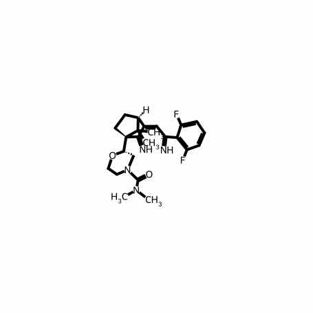 CN(C)C(=O)N1CCO[C@H]([C@@]23CC[C@@H](/C(=C/C(=N)c4c(F)cccc4F)C2=N)C3(C)C)C1